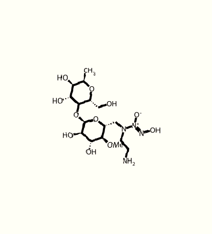 CO[C@H]1[C@H](O)[C@@H](O)[C@@H](OC2[C@@H](CO)O[C@H](C)[C@H](O)[C@H]2O)O[C@@H]1CN(CCN)/[N+]([O-])=N/O